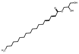 CCCCCCCCCCCCC/C=C/C=C/C(=O)OCC(O)CO